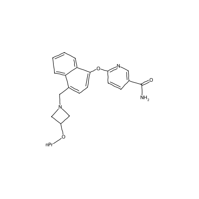 CCCOC1CN(Cc2ccc(Oc3ccc(C(N)=O)cn3)c3ccccc23)C1